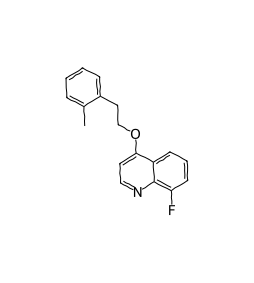 Cc1ccccc1CCOc1ccnc2c(F)cccc12